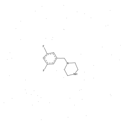 Fc1cc(F)cc(CN2[CH]CNCC2)c1